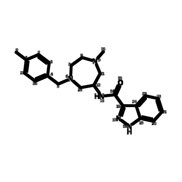 Cc1ccc(CN2CCN(C)CC(NC(=O)c3n[nH]c4ccccc34)C2)cc1